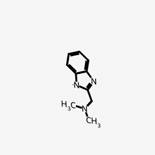 CN(C)CC1=Nc2ccccc2[N]1